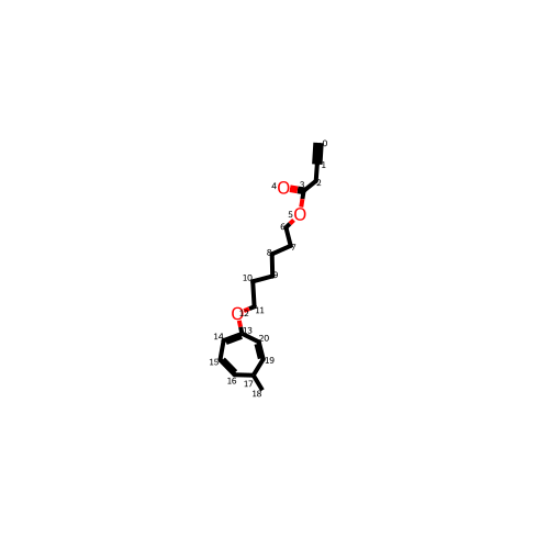 C#CCC(=O)OCCCCCCOC1=CC=CC(C)C=C1